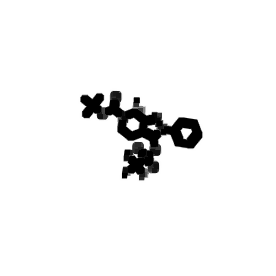 C[C@@H]1c2nn(-c3ccccc3)c(OS(=O)(=O)C(F)(F)F)c2CCN1C(=O)OC(C)(C)C